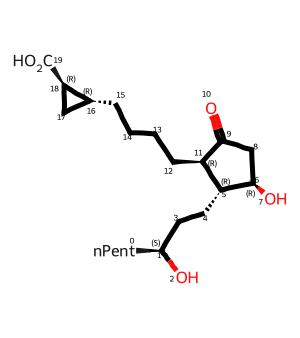 CCCCC[C@H](O)CC[C@H]1[C@H](O)CC(=O)[C@@H]1CCCC[C@@H]1C[C@H]1C(=O)O